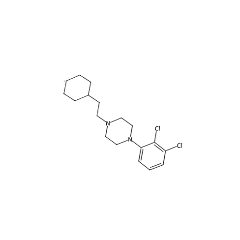 Clc1cccc(N2CCN(CCC3CC[CH]CC3)CC2)c1Cl